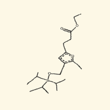 CCOC(=O)CCc1cc(CO[Si](C(C)C)(C(C)C)C(C)C)c(C)o1